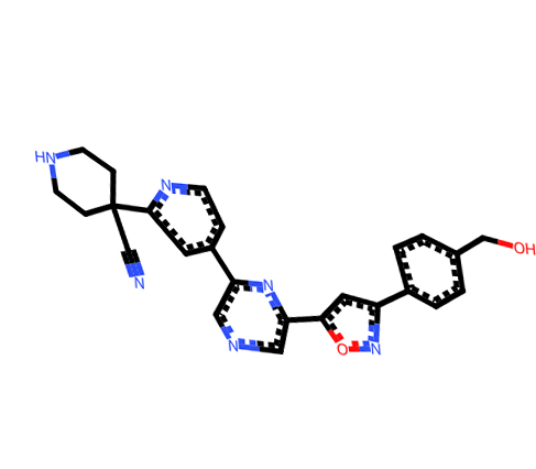 N#CC1(c2cc(-c3cncc(-c4cc(-c5ccc(CO)cc5)no4)n3)ccn2)CCNCC1